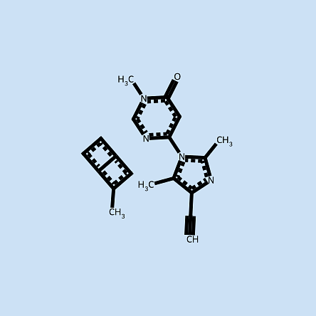 C#Cc1nc(C)n(-c2cc(=O)n(C)cn2)c1C.Cc1cc2ccc1-2